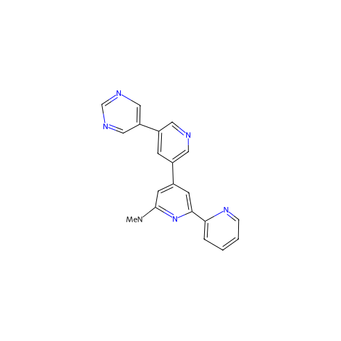 CNc1cc(-c2cncc(-c3cncnc3)c2)cc(-c2ccccn2)n1